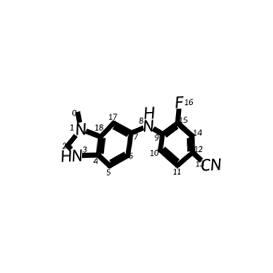 CN1CNc2ccc(Nc3ccc(C#N)cc3F)cc21